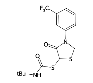 CC(C)(C)NC(=O)SC1SCN(c2cccc(C(F)(F)F)c2)C1=O